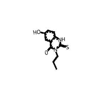 CCCn1c(=S)[nH]c2ccc(O)cc2c1=O